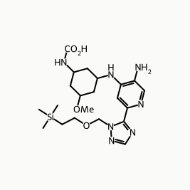 COC1CC(NC(=O)O)CC(Nc2cc(-c3ncnn3COCC[Si](C)(C)C)ncc2N)C1